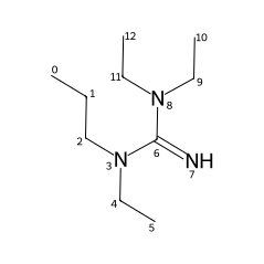 CCCN(CC)C(=N)N(CC)CC